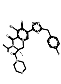 CC(C)N1C(=O)c2c(O)c(=O)c(-c3nnc(Cc4ccc(F)cc4)s3)cn2C[C@@]1(C)C(=O)N1CCOCC1